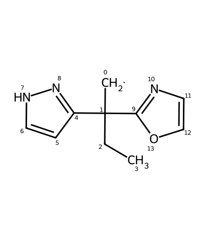 [CH2]C(CC)(c1cc[nH]n1)c1ncco1